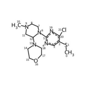 CSc1cnc(N2CCN(C)CC2N2CCOCC2)nc1Cl